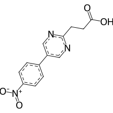 O=C(O)CCc1ncc(-c2ccc([N+](=O)[O-])cc2)cn1